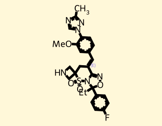 CCC1(c2ccc(F)cc2)ON=C2/C(=C/c3ccc(-n4cnc(C)n4)c(OC)c3)CC3(CNC3)S(=O)(=O)N21